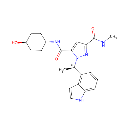 CNC(=O)c1cc(C(=O)N[C@H]2CC[C@H](O)CC2)n([C@H](C)c2cccc3[nH]ccc23)n1